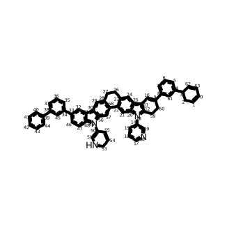 C1=CCC(c2cccc(C3=Cc4c(n(-c5cccnc5)c5cc6c(cc45)CCc4cc5c7cc(-c8cccc(-c9ccccc9)c8)ccc7n(C7=CNCC=C7)c5cc4-6)CC3)c2)C=C1